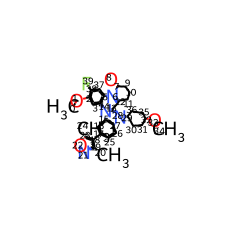 COc1ccc(N2C(=O)CCCC2c2nc3cc(-c4c(C)noc4C)ccc3n2C2CCC(OC)CC2)cc1F